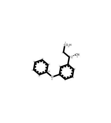 N#C[C@@H](CC(=O)O)c1cccc(Oc2ccccc2)c1